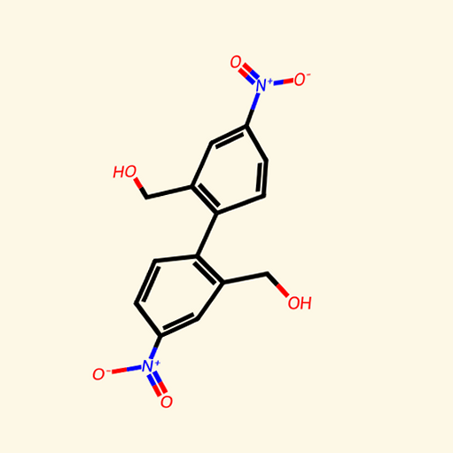 O=[N+]([O-])c1ccc(-c2ccc([N+](=O)[O-])cc2CO)c(CO)c1